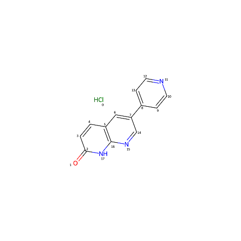 Cl.O=c1ccc2cc(-c3ccncc3)cnc2[nH]1